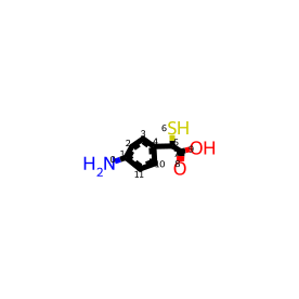 Nc1ccc(C(S)C(=O)O)cc1